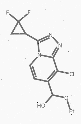 CCOC(O)c1ccn2c(C3CC3(F)F)nnc2c1Cl